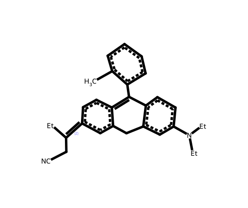 CC/C(CC#N)=c1\ccc2c(c1)Cc1cc(N(CC)CC)ccc1C=2c1ccccc1C